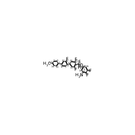 Cc1ccc(-c2ccc(-c3cc(F)c(C(F)(P)Oc4cc(N)c(F)c(F)c4)c(F)c3)c(F)c2)cc1